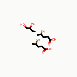 CC(S)CCC(=O)O.CC(S)CCC(=O)O.CCC(O)CO